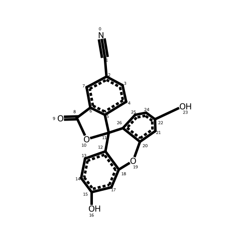 N#Cc1ccc2c(c1)C(=O)OC21c2ccc(O)cc2Oc2cc(O)ccc21